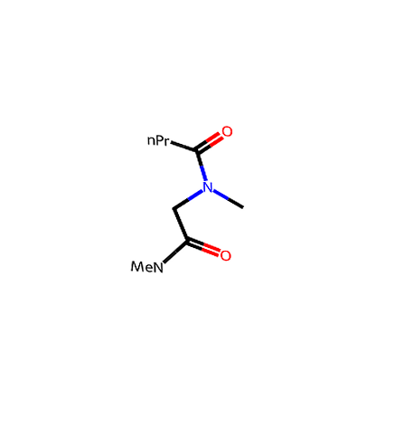 CCCC(=O)N(C)CC(=O)NC